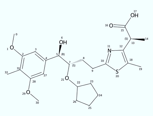 COc1cc([C@@H](O)[C@H](CCc2nc([C@H](C)C(=O)O)c(C)s2)OC2CCCC2)cc(OC)c1C